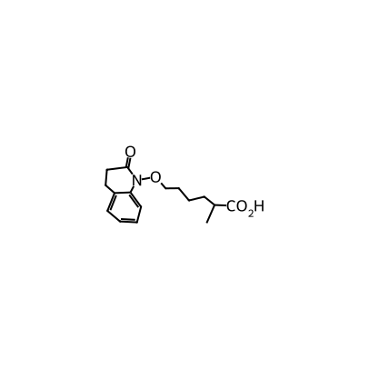 CC(CCCCON1C(=O)CCc2ccccc21)C(=O)O